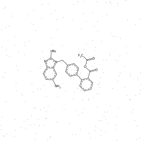 CCCCc1nc2ccc(N)cc2n1Cc1ccc(-c2ccccc2C(=O)OC(=O)C(F)(F)F)cc1